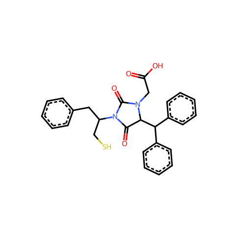 O=C(O)CN1C(=O)N(C(CS)Cc2ccccc2)C(=O)C1C(c1ccccc1)c1ccccc1